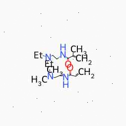 C=C(C)C(=O)NCCN(CC)CC.C=CC(=O)NCCN(C)C